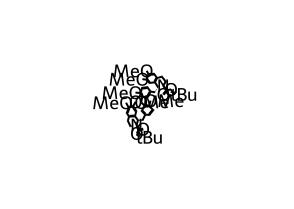 COc1cc2c(cc1OC)[C@@H](Cc1ccc(OC)c(Oc3cc(C[C@@H]4c5cc(OC)c(OC)cc5CCN4C(=O)OC(C)(C)C)ccc3OC)c1)N(C(=O)OC(C)(C)C)CC2